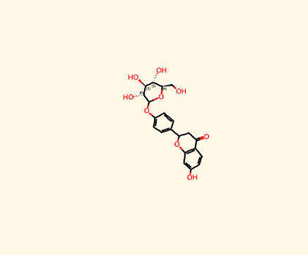 O=C1CC(c2ccc(OC3O[C@H](CO)[C@@H](O)[C@H](O)[C@H]3O)cc2)Oc2cc(O)ccc21